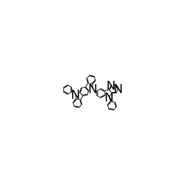 c1ccc(-n2c3ccccc3c3cc4c(cc32)c2ccccc2n4-c2ccc3c(c2)c2ncncc2n3-c2ccccc2)cc1